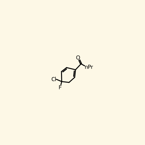 CCCC(=O)C1=CCC(F)(Cl)C=C1